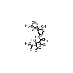 CC(=O)C1=C(O)C(=C(C)Nc2ccc(O)c(NC(=O)C(C)C)c2)C(=O)OC1=O